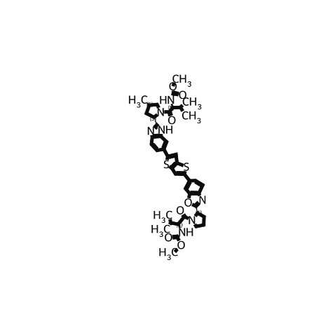 COC(=O)N[C@H](C(=O)N1C[C@@H](C)C[C@H]1c1nc2ccc(-c3cc4sc(-c5ccc6nc([C@@H]7CCCN7C(=O)[C@@H](NC(=O)OC)C(C)C)oc6c5)cc4s3)cc2[nH]1)C(C)C